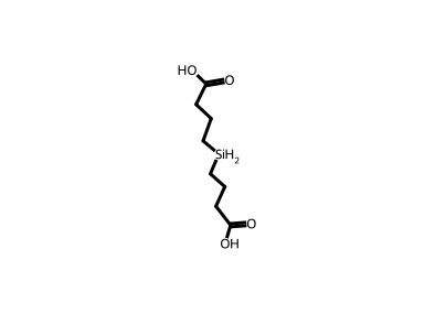 O=C(O)CCC[SiH2]CCCC(=O)O